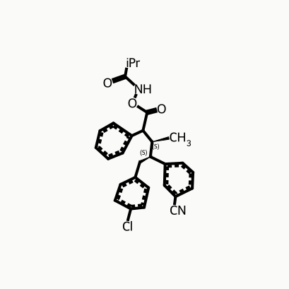 CC(C)C(=O)NOC(=O)C(c1ccccc1)[C@@H](C)[C@H](Cc1ccc(Cl)cc1)c1cccc(C#N)c1